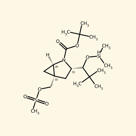 C[SiH](C)OC([C@@H]1C[C@@]2(COS(C)(=O)=O)C[C@H]2N1C(=O)OC(C)(C)C)C(C)(C)C